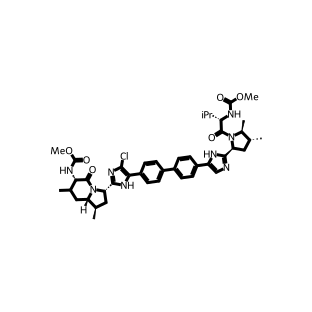 COC(=O)N[C@H](C(=O)N1[C@H](c2ncc(-c3ccc(-c4ccc(-c5[nH]c([C@@H]6C[C@@H](C)[C@@H]7CC(C)[C@H](NC(=O)OC)C(=O)N67)nc5Cl)cc4)cc3)[nH]2)C[C@@H](C)[C@@H]1C)C(C)C